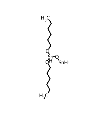 CCCCCC[O][SnH]([O][SnH])[O]CCCCCC